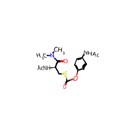 CC(=O)Nc1ccc(OC(=O)SC[C@@H](NC(C)=O)C(=O)N(C)C)cc1